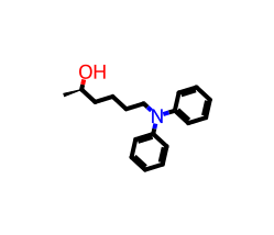 C[C@@H](O)CCCCN(c1ccccc1)c1ccccc1